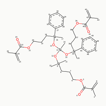 C=C(C)C(=O)OCCC[Si](C)(C)O[Si](C)(O[Si](C)(CCCOC(=O)C(=C)C)c1ccccc1)O[Si](C)(CCCOC(=O)C(=C)C)c1ccccc1